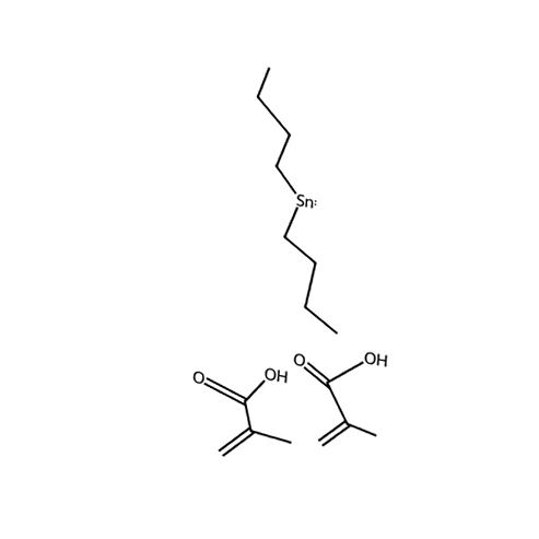 C=C(C)C(=O)O.C=C(C)C(=O)O.CCC[CH2][Sn][CH2]CCC